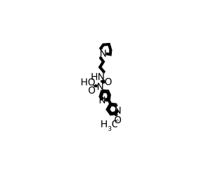 COc1ccc(-c2ccc(N(C(=O)O)C(=O)NCCCCN3CCCCC3)cn2)cn1